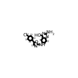 Nc1nc(O)c2cc(Nc3ncc(-c4ccc(Cl)cc4)o3)ccc2n1